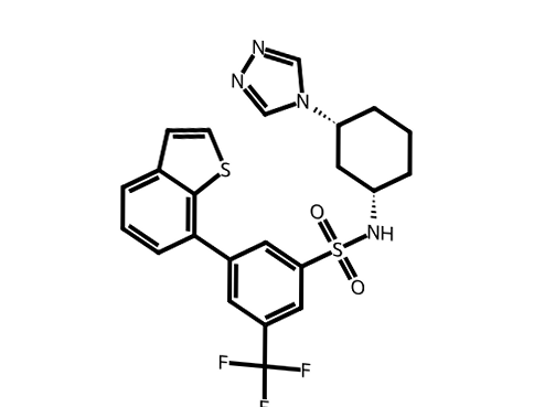 O=S(=O)(N[C@H]1CCC[C@@H](n2cnnc2)C1)c1cc(-c2cccc3ccsc23)cc(C(F)(F)F)c1